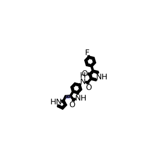 O=C1Nc2cc(NC(=O)c3c[nH]cc(-c4ccc(F)cc4)c3=O)ccc2/C1=C/c1ccc[nH]1